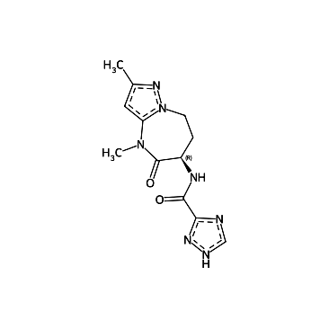 Cc1cc2n(n1)CC[C@@H](NC(=O)c1nc[nH]n1)C(=O)N2C